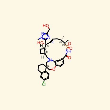 C[C@@H]1[C@@H](C)C/C=C/[C@](O)(c2nc(CO)nn2C)[C@@H]2CC[C@H]2CN2C[C@@]3(CCCc4cc(Cl)ccc43)COc3ccc(cc32)C(=O)NS1(=O)=O